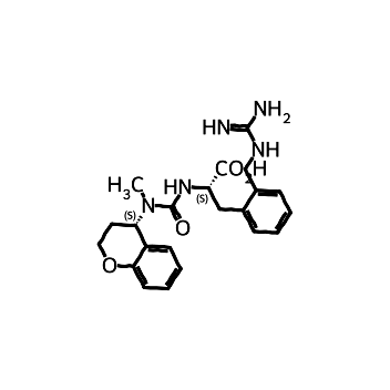 CN(C(=O)N[C@@H](Cc1ccccc1CNC(=N)N)C(=O)O)[C@H]1CCOc2ccccc21